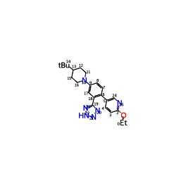 CCOc1ccc(-c2ccc(N3CCC(C(C)(C)C)CC3)cc2-c2nn[nH]n2)cn1